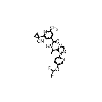 CC(NC(=O)c1cc(C(F)(F)F)nc(C2(C#N)CC2)c1)c1ncnn1-c1ccc(OC(F)F)cn1